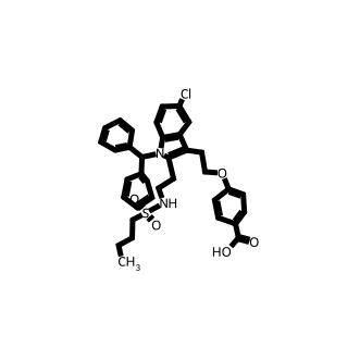 CCCCS(=O)(=O)NCCc1c(CCOc2ccc(C(=O)O)cc2)c2cc(Cl)ccc2n1C(c1ccccc1)c1ccccc1